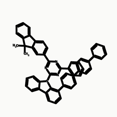 CC1(C)c2ccccc2-c2ccc(-c3nc(-c4ccccc4)nc(-n4c5ccccc5c5cccc(-c6ccc(-c7ccc(-c8ccccc8)cc7)cc6)c54)n3)cc21